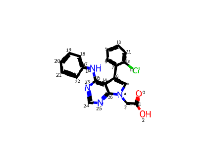 O=C(O)Cn1cc(-c2ccccc2Cl)c2c(Nc3ccccc3)ncnc21